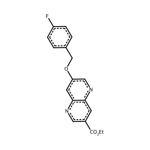 CCOC(=O)c1cnc2cc(OCc3ccc(F)cc3)cnc2c1